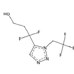 OCCC(F)(F)c1cnnn1CC(F)(F)F